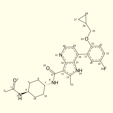 CC(=O)N[C@H]1CC[C@H](NC(=O)c2c(C)[nH]c3c(-c4cc(F)ccc4OCC4CC4)ccnc23)CC1